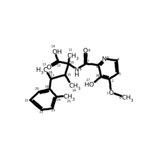 COc1ccnc(C(=O)NC(C)(C(=O)O)C(C)C(C)c2ccccc2C)c1O